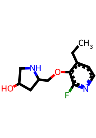 CCc1ccnc(F)c1OCC1CC(O)CN1